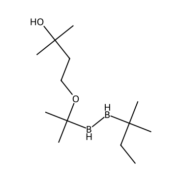 CCC(C)(C)BBC(C)(C)OCCC(C)(C)O